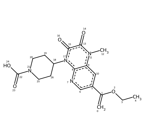 C=C(OCC)c1cnc2c(c1)n(C)c(=O)c(=O)n2C1CCN(C(=O)O)CC1